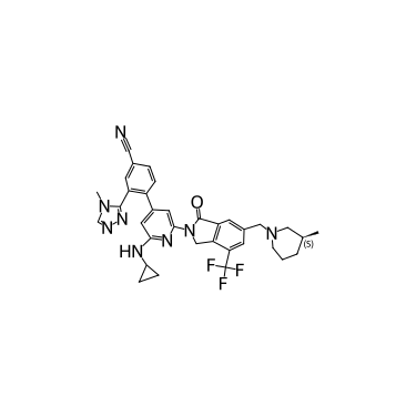 C[C@H]1CCCN(Cc2cc3c(c(C(F)(F)F)c2)CN(c2cc(-c4ccc(C#N)cc4-c4nncn4C)cc(NC4CC4)n2)C3=O)C1